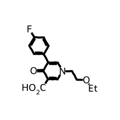 CCOCCn1cc(C(=O)O)c(=O)c(-c2ccc(F)cc2)c1